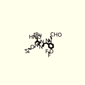 CC(C)(C)NC(=O)c1cn(COCC[Si](C)(C)C)c2ncc(-c3nn(CCC=O)c4ccc(OC(F)F)cc34)nc12